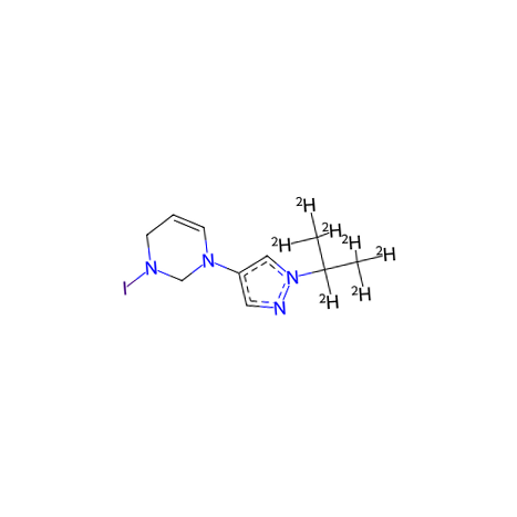 [2H]C([2H])([2H])C([2H])(n1cc(N2C=CCN(I)C2)cn1)C([2H])([2H])[2H]